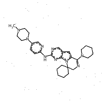 CN1CCN(c2ccc(Nc3ncc4cc5n(c4n3)C3(CCCCC3)CN=C5N3CCCCC3)nc2)CC1